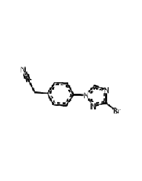 N#CCc1ccc(-n2cnc(Br)n2)cc1